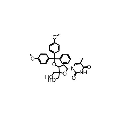 COc1ccc(C(OC2C[C@H](n3cc(C)c(=O)[nH]c3=O)OC2(CO)CO)(c2ccccc2)c2ccc(OC)cc2)cc1